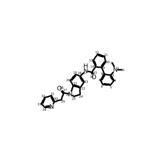 CN(C)c1ccccc1-c1ccccc1C(=O)Nc1ccc2c(c1)CCN2C(=O)Cc1ccccn1